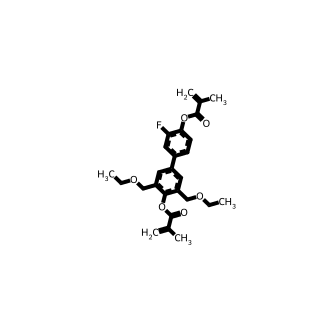 C=C(C)C(=O)Oc1ccc(-c2cc(COCC)c(OC(=O)C(=C)C)c(COCC)c2)cc1F